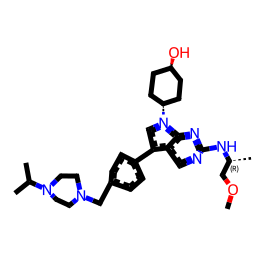 COC[C@@H](C)Nc1ncc2c(-c3ccc(CN4CCN(C(C)C)CC4)cc3)cn([C@H]3CC[C@H](O)CC3)c2n1